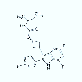 CCC(C)NC(=O)O[C@H]1C[C@H](c2c(-c3ccc(F)cc3)[nH]c3c(F)cc(F)cc32)C1